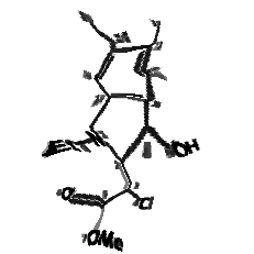 CCN1C(=C(Cl)C(=O)OC)C(O)c2cc(C)c(C)cc21